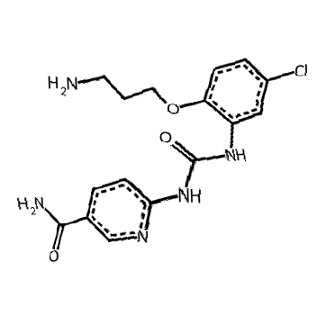 NCCCOc1ccc(Cl)cc1NC(=O)Nc1ccc(C(N)=O)cn1